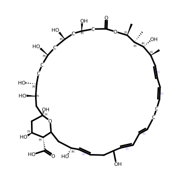 C[C@@H]1[C@H](O)[C@@H](C)/C=C/C=C/CC/C=C/C=C/C(O)C/C=C/[C@H](O)CC2O[C@](O)(C[C@@H](O)[C@H](O)CC[C@@H](O)C[C@@H](O)C[C@@H](O)CC(=O)O[C@H]1C)C[C@H](O)[C@H]2C(=O)O